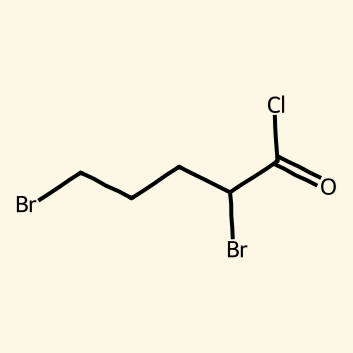 O=C(Cl)C(Br)CCCBr